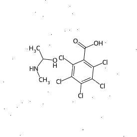 CNC(C)O.O=C(O)c1c(Cl)c(Cl)c(Cl)c(Cl)c1Cl